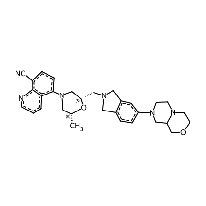 C[C@@H]1CN(c2ccc(C#N)c3ncccc23)C[C@H](CN2Cc3ccc(N4CCN5CCOCC5C4)cc3C2)O1